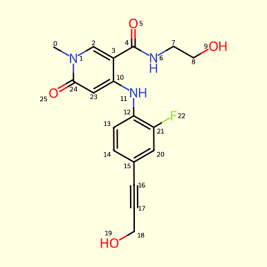 Cn1cc(C(=O)NCCO)c(Nc2ccc(C#CCO)cc2F)cc1=O